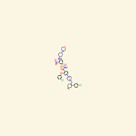 CC1(C)CCC(CN2CCN(c3ccc(C(=O)NS(=O)(=O)c4ccc(NC5CCC(N6CCOCC6)CC5)c([N+](=O)[O-])c4)c(Oc4cccc(Cl)c4)c3)CC2)=C(c2ccc(Cl)cc2)C1